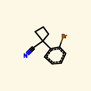 N#CC1(c2ccccc2Br)CCC1